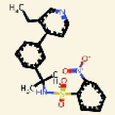 CCc1cnccc1-c1cccc(C(C)(C)NS(=O)(=O)c2ccccc2[N+](=O)[O-])c1